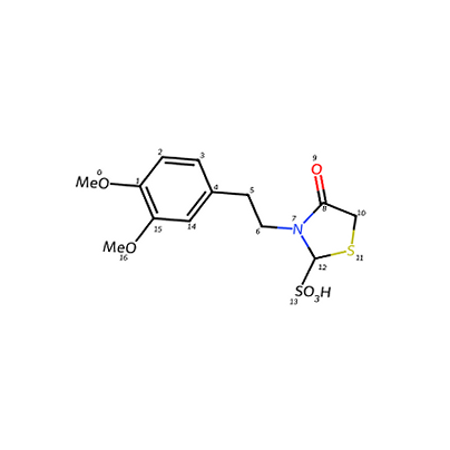 COc1ccc(CCN2C(=O)CSC2S(=O)(=O)O)cc1OC